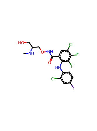 CNC(CO)CONC(=O)c1cc(Cl)c(F)c(F)c1Nc1ccc(I)cc1Cl